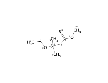 CCO[Si](C)(C)CC(=S)OC